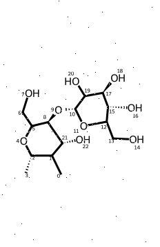 CC1[C@H](C)OC(CO)[C@@H](O[C@H]2OC(CO)[C@@H](O)[C@H](O)C2O)[C@@H]1O